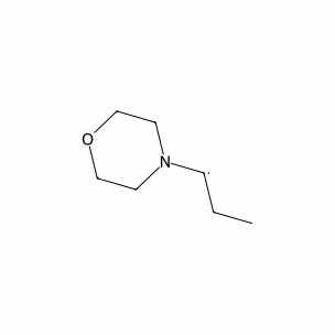 CC[CH]N1CCOCC1